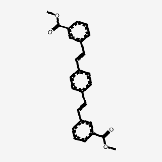 COC(=O)c1cccc(/C=C/c2ccc(/C=C/c3cccc(C(=O)OC)c3)cc2)c1